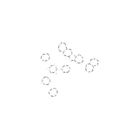 c1ccc(-c2cccc(-c3nc(-c4ccccc4)nc(-c4cccc(-n5c6cc(-c7cccc8ccccc78)ccc6c6cc7ccccc7cc65)c4)n3)c2)cc1